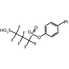 CC(C)c1ccc(OS(=O)(=O)C(F)(F)C(F)(F)C(F)(F)S(=O)(=O)O)cc1